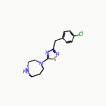 Clc1ccc(Cc2nsc(N3CCCNCC3)n2)cc1